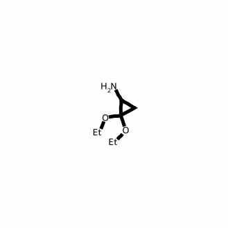 CCOC1(OCC)CC1N